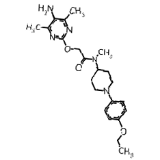 CCOc1ccc(N2CCC(N(C)C(=O)COc3nc(C)c(N)c(C)n3)CC2)cc1